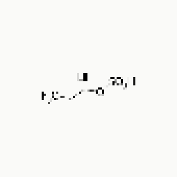 O=S(=O)(O)OCCC(F)(F)F.[LiH]